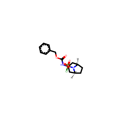 O=C(NC1C[C@H]2CC[C@@H](C1)N2S(=O)(=O)Cl)OCc1ccccc1